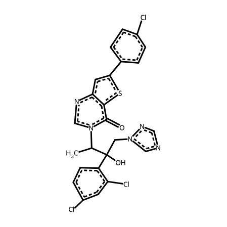 CC(n1cnc2cc(-c3ccc(Cl)cc3)sc2c1=O)C(O)(Cn1cncn1)c1ccc(Cl)cc1Cl